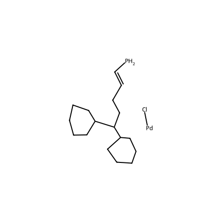 PC=CCCC(C1CCCCC1)C1CCCCC1.[Cl][Pd]